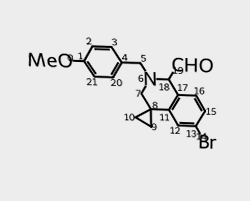 COc1ccc(CN2CC3(CC3)c3cc(Br)ccc3C2C=O)cc1